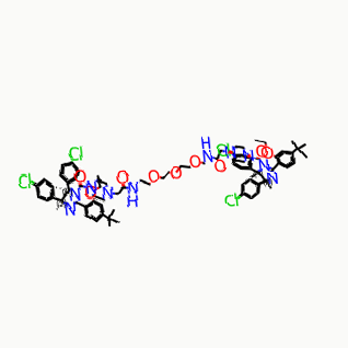 CCOc1cc(C(C)(C)C)ccc1C1=N[C@@](C)(c2ccc(Cl)cc2)[C@@](C)(c2ccc(Cl)cc2)N1C(=O)N1CCN(CC(=O)NCCOCCOCCOCNC(=O)CN2CCN(C(=O)N3C(c4ccc(C(C)(C)C)cc4OCC)=N[C@](C)(c4ccc(Cl)cc4)[C@]3(C)c3ccc(Cl)cc3)CC2)CC1